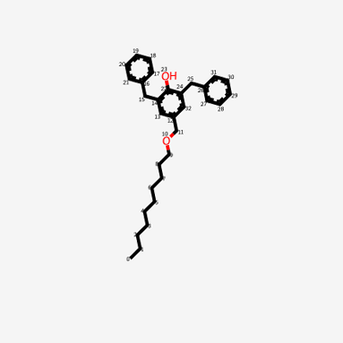 CCCCCCCCCCOCc1cc(Cc2ccccc2)c(O)c(Cc2ccccc2)c1